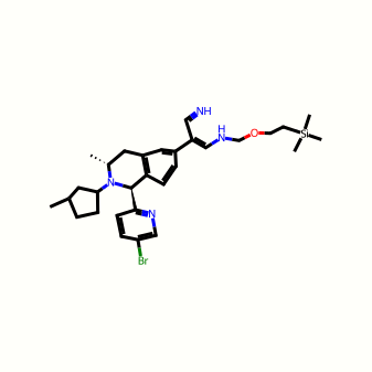 CC1CCC(N2[C@H](c3ccc(Br)cn3)c3ccc(/C(C=N)=C/NCOCC[Si](C)(C)C)cc3C[C@H]2C)C1